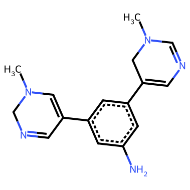 CN1C=C(c2cc(N)cc(C3=CN=CN(C)C3)c2)C=NC1